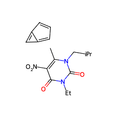 CCn1c(=O)c([N+](=O)[O-])c(C)n(CC(C)C)c1=O.c1cc2cc-2c1